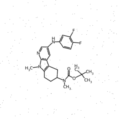 CN(C(=O)OC(C)(C)C)C1CCc2c(c3cc(Nc4ccc(F)c(F)c4)cnc3n2C)C1